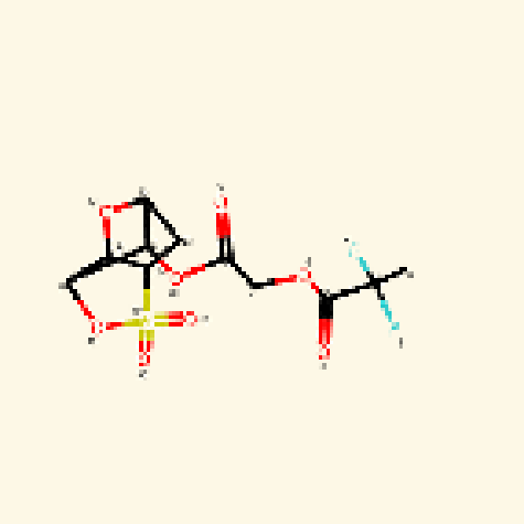 CC(F)(F)C(=O)OCC(=O)OC1C2CC3C(O2)C1OS3(=O)=O